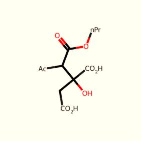 CCCOC(=O)C(C(C)=O)C(O)(CC(=O)O)C(=O)O